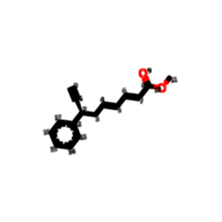 C#C[C@@H](C/C=C/C=C/C(=O)OC)c1ccccc1